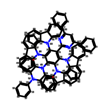 c1ccc(-c2cc(-c3ccccc3)nc(-c3c(-n4c5ccccc5c5ccccc54)c(-n4c5ccccc5c5ccccc54)c(N4c5ccccc5N(c5ccccc5)c5ccccc54)c(-n4c5ccccc5c5ccccc54)c3-n3c4ccccc4c4ccccc43)n2)cc1